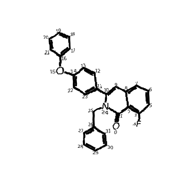 O=c1c2c(F)cccc2cc(-c2ccc(Oc3ccccc3)cc2)n1Cc1ccccc1